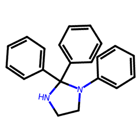 c1ccc(N2CCNC2(c2ccccc2)c2ccccc2)cc1